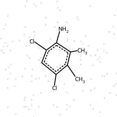 Cc1c(Cl)cc(Cl)c(N)c1C